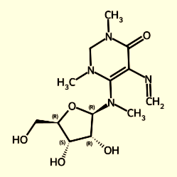 C=NC1=C(N(C)[C@@H]2O[C@H](CO)[C@@H](O)[C@H]2O)N(C)CN(C)C1=O